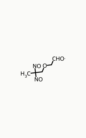 CC(COC[C]=O)(N=O)N=O